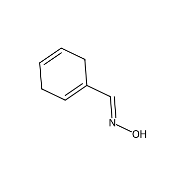 ON=CC1=CCC=CC1